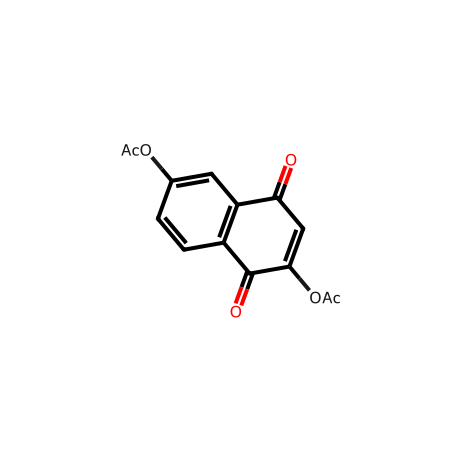 CC(=O)OC1=CC(=O)c2cc(OC(C)=O)ccc2C1=O